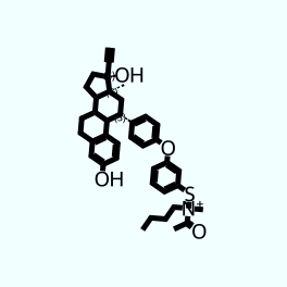 C#C[C@]1(O)CCC2C3CCc4cc(O)ccc4C3[C@@H](c3ccc(Oc4cccc(S[N+](C)(CCCC)C(C)=O)c4)cc3)C[C@@]21C